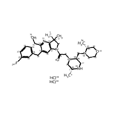 C[C@@H]1CN(CC(=O)N2CC(C)(C)c3nc(CO)c(Cc4cccc(F)c4)cc32)[C@@H](CN2CCOC[C@H]2C)CN1.Cl.Cl